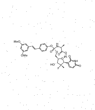 COc1cc(/C=C/c2ccc(OP(=O)(N[C@@H](C)C(=O)OC(C)C)OC[C@H]3O[C@@H](n4ccc(=O)[nH]c4=O)[C@](C)(F)[C@@H]3O)cc2)cc(OC)c1